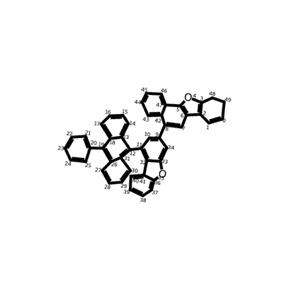 C1=Cc2c(oc3c2cc(-c2cc(-c4c5ccccc5c(-c5ccccc5)c5ccccc45)c4c(c2)oc2ccccc24)c2ccccc23)CC1